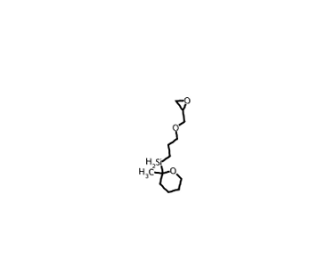 CC1([SiH2]CCCOCC2CO2)CCCCO1